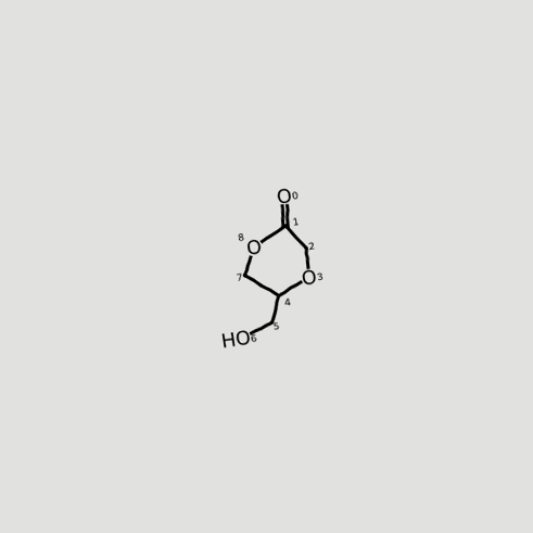 O=C1COC(CO)CO1